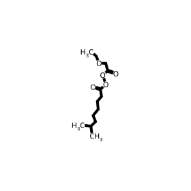 CCOCC(=O)OOC(=O)CCCCCC(C)C